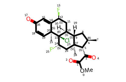 COC(=O)C(=O)[C@H]1[C@H](C)C[C@H]2[C@@H]3C[C@H](F)C4=CC(=O)C=C[C@]4(C)[C@@]3(Cl)[C@@H](F)C[C@@]21C